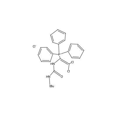 CC(C)(C)NC(=O)NC(=C(Cl)Cl)[P+](c1ccccc1)(c1ccccc1)c1ccccc1.[Cl-]